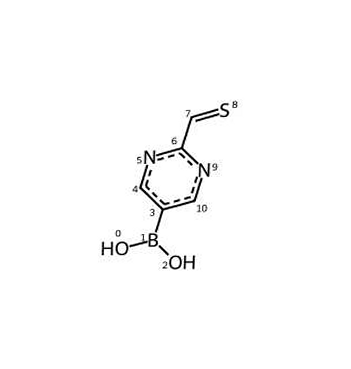 OB(O)c1cnc(C=S)nc1